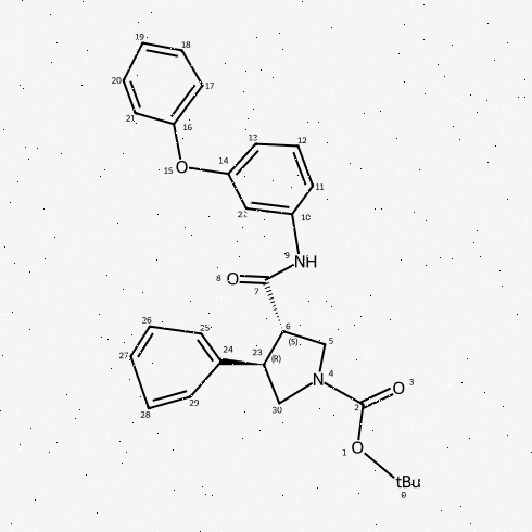 CC(C)(C)OC(=O)N1C[C@@H](C(=O)Nc2cccc(Oc3ccccc3)c2)[C@H](c2ccccc2)C1